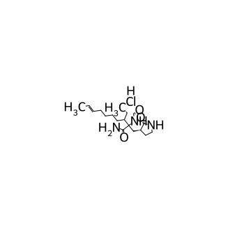 CC=CCCCCC(CC)C(C[C@@H]1CCNC1=O)(NC=O)C(N)=O.Cl